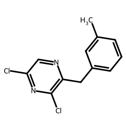 Cc1cccc(Cc2ncc(Cl)nc2Cl)c1